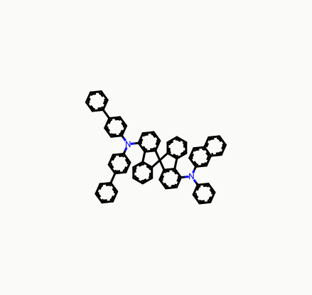 c1ccc(-c2ccc(N(c3ccc(-c4ccccc4)cc3)c3cccc4c3-c3ccccc3C43c4ccccc4-c4c(N(c5ccccc5)c5ccc6ccccc6c5)cccc43)cc2)cc1